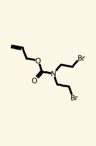 C=CCOC(=O)N(CCBr)CCBr